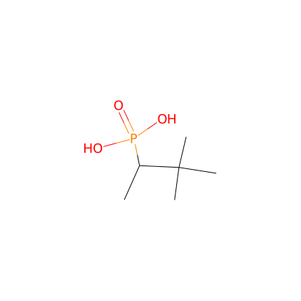 CC(C(C)(C)C)P(=O)(O)O